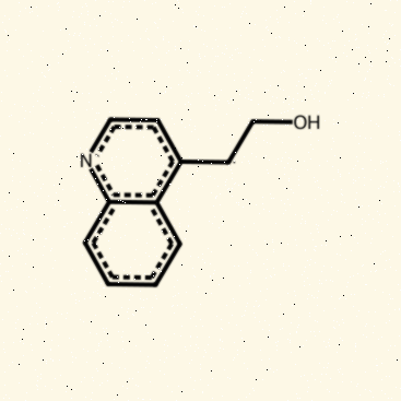 OC[CH]c1ccnc2ccccc12